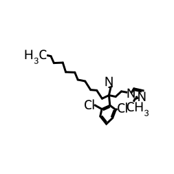 CCCCCCCCCCCC(C#N)(CCn1ccnc1C)c1c(Cl)cccc1Cl